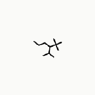 [CH2]C(C)(C)C(CCC)C(C)C